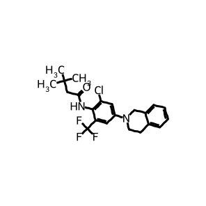 CC(C)(C)CC(=O)Nc1c(Cl)cc(N2CCc3ccccc3C2)cc1C(F)(F)F